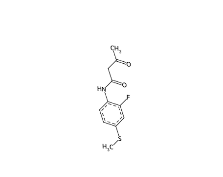 CSc1ccc(NC(=O)CC(C)=O)c(F)c1